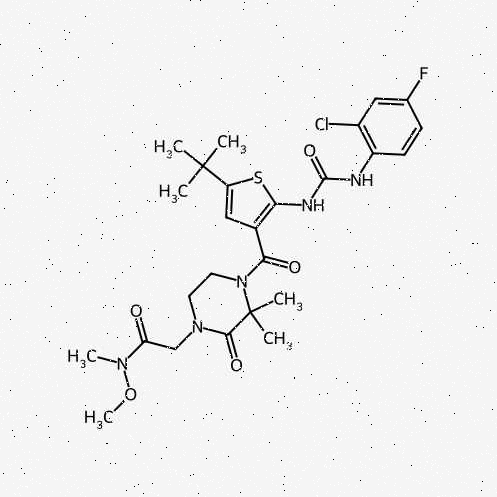 CON(C)C(=O)CN1CCN(C(=O)c2cc(C(C)(C)C)sc2NC(=O)Nc2ccc(F)cc2Cl)C(C)(C)C1=O